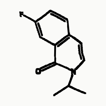 CC(C)n1ccc2ccc(F)cc2c1=O